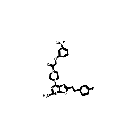 Nc1nc(N2CCN(C(=O)COc3cccc([N+](=O)[O-])c3)CC2)c2nc(CCc3ccc(F)cc3)sc2n1